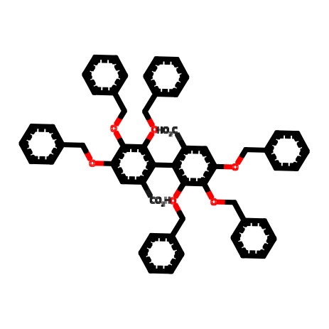 O=C(O)c1cc(OCc2ccccc2)c(OCc2ccccc2)c(OCc2ccccc2)c1-c1c(C(=O)O)cc(OCc2ccccc2)c(OCc2ccccc2)c1OCc1ccccc1